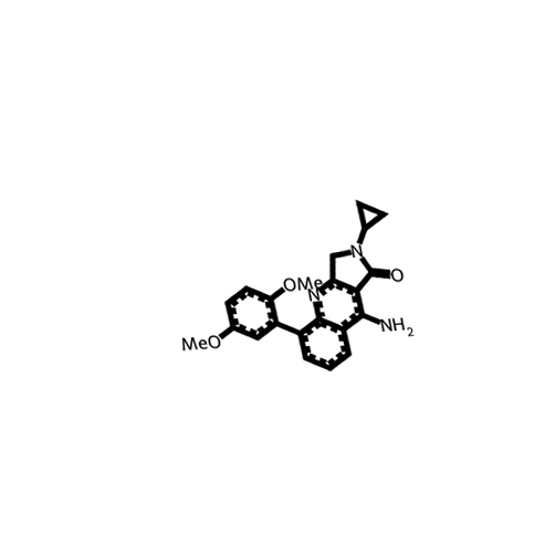 COc1ccc(OC)c(-c2cccc3c(N)c4c(nc23)CN(C2CC2)C4=O)c1